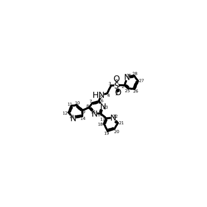 O=S(=O)(CCNc1cc(-c2cccnc2)nc(-c2ccccn2)n1)c1ccccn1